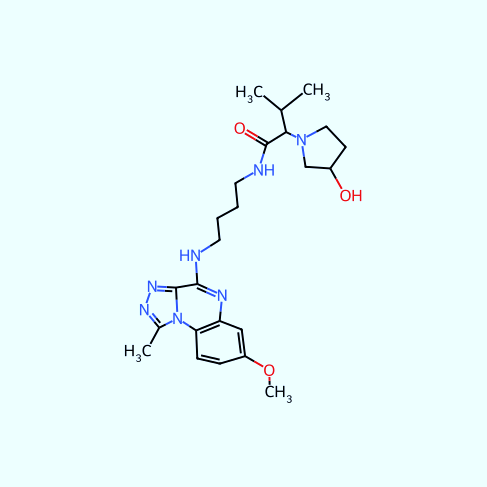 COc1ccc2c(c1)nc(NCCCCNC(=O)C(C(C)C)N1CCC(O)C1)c1nnc(C)n12